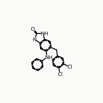 O=C1[N]c2cc(Nc3ccccc3)c(Cc3ccc(Cl)c(Cl)c3)cc2N1